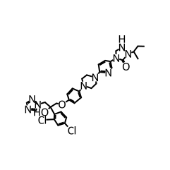 CCC(C)N1NCN(c2ccc(N3CCN(c4ccc(OCC(O)(Cn5cncn5)c5ccc(Cl)cc5Cl)cc4)CC3)nc2)C1=O